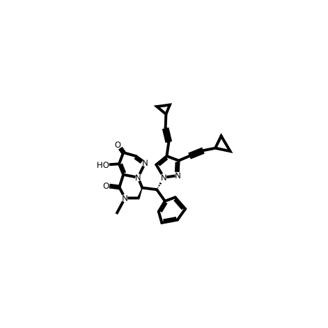 CN1C[C@H]([C@@H](c2ccccc2)n2cc(C#CC3CC3)c(C#CC3CC3)n2)n2ncc(=O)c(O)c2C1=O